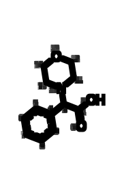 O=C(O)C(c1ccccc1)N1CCOCC1